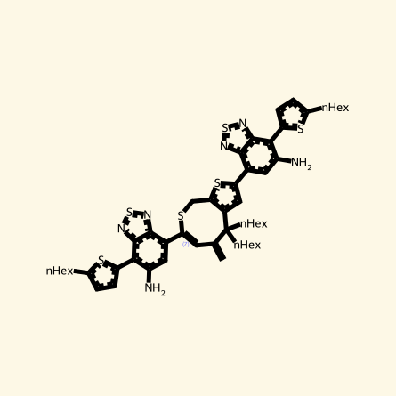 C=C1/C=C(/c2cc(N)c(-c3ccc(CCCCCC)s3)c3nsnc23)SCc2sc(-c3cc(N)c(-c4ccc(CCCCCC)s4)c4nsnc34)cc2C1(CCCCCC)CCCCCC